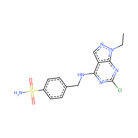 CCn1ncc2c(NCc3ccc(S(N)(=O)=O)cc3)nc(Cl)nc21